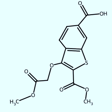 COC(=O)COc1c(C(=O)OC)sc2cc(C(=O)O)ccc12